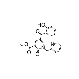 CCOC(=O)c1cc(C(=O)c2ccccc2O)cn(Cc2ccccn2)c1=O